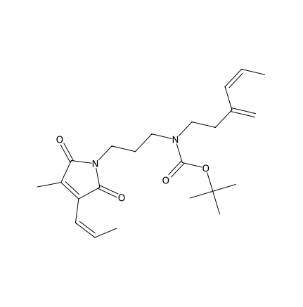 C=C(/C=C\C)CCN(CCCN1C(=O)C(C)=C(/C=C\C)C1=O)C(=O)OC(C)(C)C